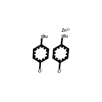 CC(C)(C)c1ccc([O-])cc1.CC(C)(C)c1ccc([O-])cc1.[Zn+2]